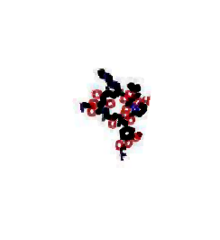 C/C=C/C=C/[C@@H](C)C[C@@H](C)C(=O)[C@H](OC)[C@H](OC(=O)CI)/C(C)=C/[C@@H](C)C(=O)C[C@H](OC(=O)[C@@H]1CCCCN1C(=O)C(=O)C(C)(O)OC(C)C)[C@H](C)C[C@@H]1CC[C@@H](OC(=O)CI)[C@H](OC)C1